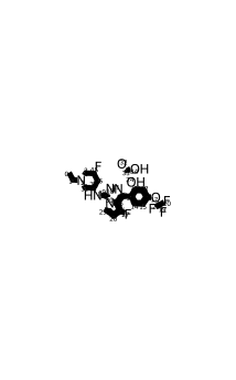 CCN1C[C@H](F)C[C@@H](Nc2nnc(-c3ccc(OC(F)(F)F)cc3O)c3c(F)ccn23)C1.O=CO